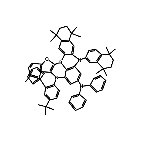 Cc1ccc2oc3c(c2c1)N(c1ccc(C(C)(C)C)cc1-c1ccccc1)c1cc(N(c2ccccc2)c2ccccc2)cc2c1B3c1cc3c(cc1N2c1ccc2c(c1)C(C)(C)CCC2(C)C)C(C)(C)CCC3(C)C